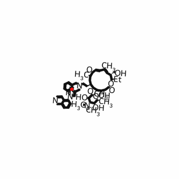 CC[C@H]1OC(=O)C[C@@H](O)[C@H](C)[C@@H](O[C@@H]2O[C@H](C)[C@@H](O)C(N(C)C)C2O)[C@@H](CCN(Cc2ccccc2)Cc2cn(-c3cccc4cnccc34)nn2)C[C@@H](C)C(=O)/C=C/C(C)=C/[C@@H]1CO